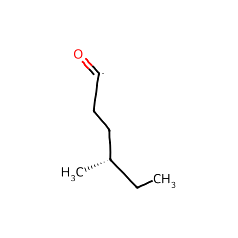 CC[C@H](C)CC[C]=O